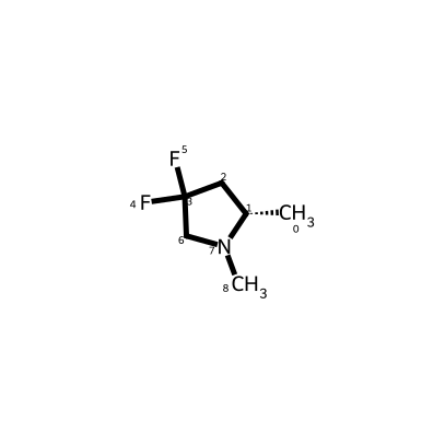 C[C@H]1CC(F)(F)CN1C